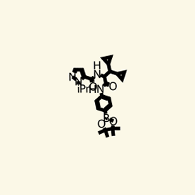 CC(C)n1nccc1C(=O)NC(C(=O)Nc1ccc(B2OC(C)(C)C(C)(C)O2)cc1)C(C1CC1)C1CC1